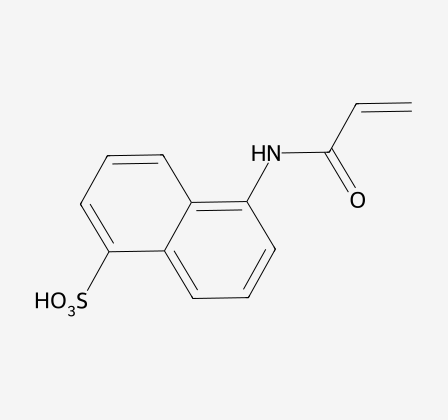 C=CC(=O)Nc1cccc2c(S(=O)(=O)O)cccc12